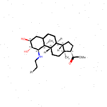 COC(=O)[C@H]1CC[C@H]2[C@@H]3CCC4C[C@H](O)[C@@H](O)[C@H](NCCC(C)C)[C@]4(C)[C@H]3CC[C@]12C